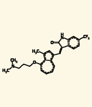 Cc1cc(C=C2C(=O)Nc3cc(C(F)(F)F)ccc32)c2ccccc(OCCCN(C)C)c1-2